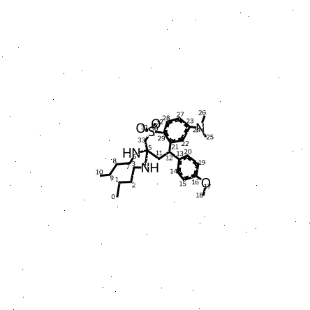 CCCCNC1(NCCCC)CC(c2ccc(OC)cc2)c2cc(N(C)C)ccc2S(=O)(=O)C1